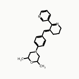 CC1CN(c2ccc(C=C3CCCN=C3c3cccnc3)cc2)CC(C)O1